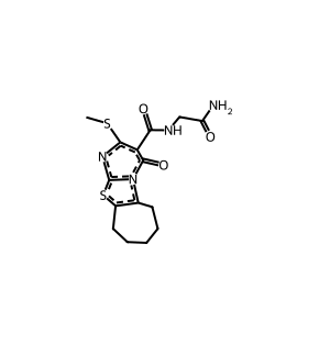 CSc1nc2sc3c(n2c(=O)c1C(=O)NCC(N)=O)CCCCC3